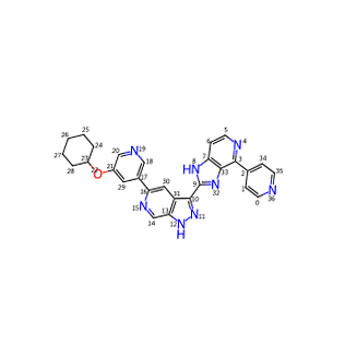 c1cc(-c2nccc3[nH]c(-c4n[nH]c5cnc(-c6cncc(OC7CCCCC7)c6)cc45)nc23)ccn1